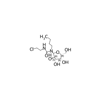 CCCCN(C(=O)NCCCl)C1O[C@H](CO)[C@H](O)[C@H](O)[C@H]1O